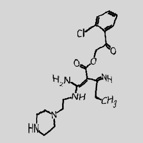 CCC(=N)/C(C(=O)OCC(=O)c1ccccc1Cl)=C(/N)NCCN1CCNCC1